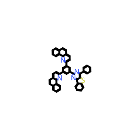 c1ccc(-c2nc(-c3cc(-c4ccc5ccc6ccccc6c5n4)cc(-c4ccc5ccc6ccccc6c5n4)c3)nc3c2sc2ccccc23)cc1